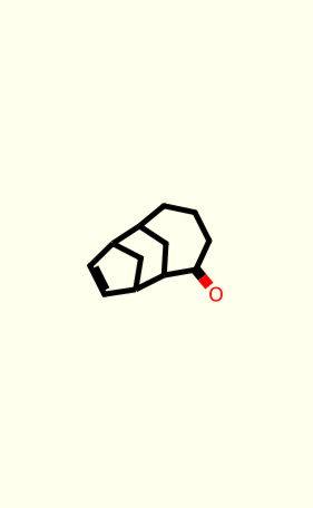 O=C1CCCC2CC1C1C=CC2C1